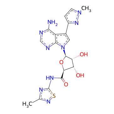 Cc1nsc(NC(=O)[C@H]2O[C@@H](n3cc(-c4ccn(C)n4)c4c(N)ncnc43)[C@H](O)[C@@H]2O)n1